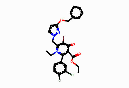 CCOC(=O)c1c(-c2ccc(Cl)c(Cl)c2)n(CC)c(Cn2ccc(OCc3ccccc3)n2)c(Br)c1=O